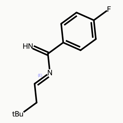 CC(C)(C)C/C=N/C(=N)c1ccc(F)cc1